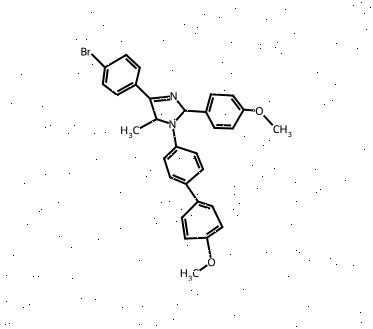 COc1ccc(-c2ccc(N3C(C)C(c4ccc(Br)cc4)=NC3c3ccc(OC)cc3)cc2)cc1